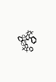 CC1(C)CC(C)(C)c2c3c(cc(-c4ccccc4)c21)B1c2cc(-c4ccccc4)c4c(c2Oc2cccc(c21)O3)C(C)(C)CC4(C)C